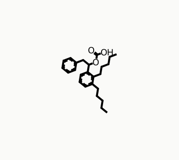 CCCCCc1cccc(C(Cc2ccccc2)OC(=O)O)c1CCCCC